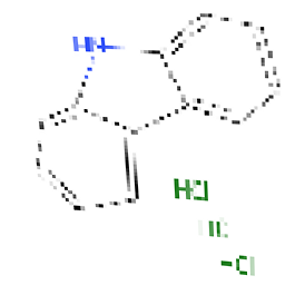 Cl.Cl.Cl.c1ccc2c(c1)[nH]c1ccccc12